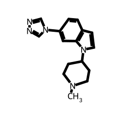 CN1CCC(n2ccc3ccc(-n4cnnc4)cc32)CC1